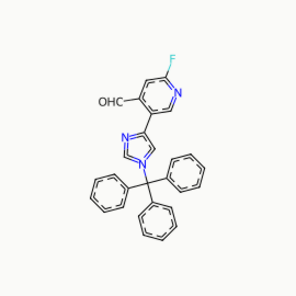 O=Cc1cc(F)ncc1-c1cn(C(c2ccccc2)(c2ccccc2)c2ccccc2)cn1